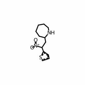 O=[N+]([O-])C(CC1CCCCCN1)c1cccs1